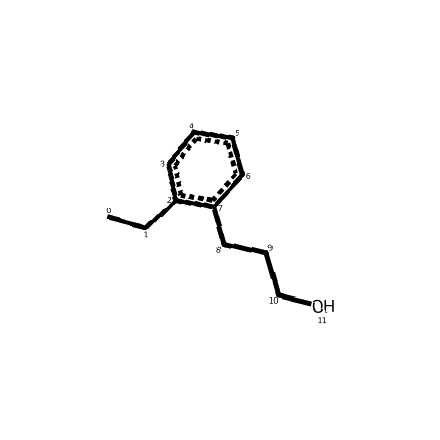 CCc1ccccc1CCCO